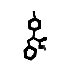 Cc1ccc(C(Cc2ccccc2)C(N)=O)cc1